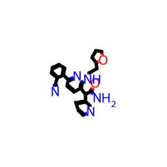 N#Cc1ccccc1-c1ccc(C(C(N)=O)c2cccnc2)c(NCCC2CCCO2)n1